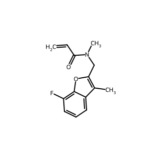 C=CC(=O)N(C)Cc1oc2c(F)cccc2c1C